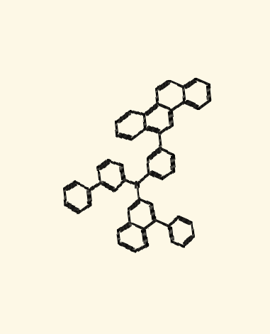 c1ccc(-c2cccc(N(c3cccc(-c4cc5c6ccccc6ccc5c5ccccc45)c3)c3cc(-c4ccccc4)c4ccccc4c3)c2)cc1